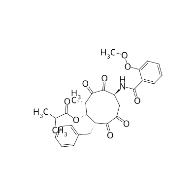 COOc1ccccc1C(=O)N[C@H]1CC(=O)C(=O)[C@H](Cc2ccccc2)[C@H](OC(=O)C(C)C)[C@H](C)C(=O)C1=O